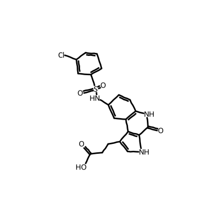 O=C(O)CCc1c[nH]c2c(=O)[nH]c3ccc(NS(=O)(=O)c4cccc(Cl)c4)cc3c12